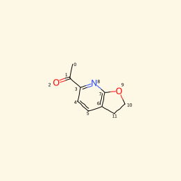 CC(=O)c1ccc2c(n1)OCC2